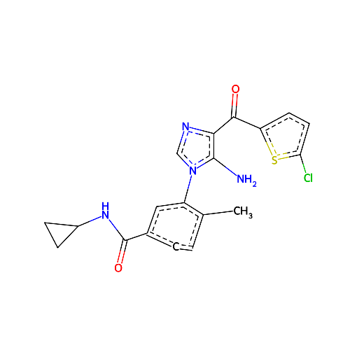 Cc1ccc(C(=O)NC2CC2)cc1-n1cnc(C(=O)c2ccc(Cl)s2)c1N